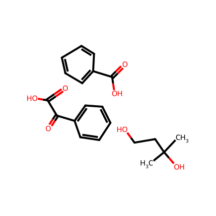 CC(C)(O)CCO.O=C(O)C(=O)c1ccccc1.O=C(O)c1ccccc1